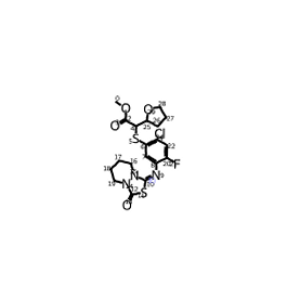 COC(=O)C(Sc1cc(/N=c2/sc(=O)n3n2CCCC3)c(F)cc1Cl)C1CCCO1